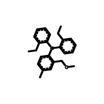 CCc1cccc[c]1[Bi]([c]1ccccc1CC)[c]1ccc(C)cc1COC